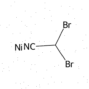 N#CC(Br)Br.[Ni]